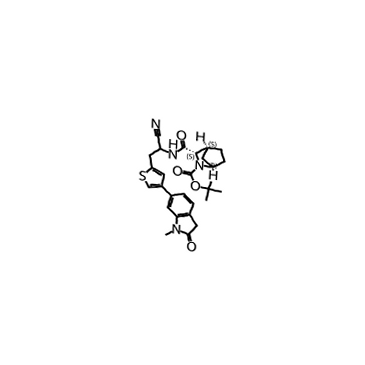 CN1C(=O)Cc2ccc(-c3csc(CC(C#N)NC(=O)[C@@H]4[C@H]5CC[C@H](C5)N4C(=O)OC(C)(C)C)c3)cc21